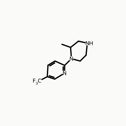 CC1CNCCN1c1ccc(C(F)(F)F)cn1